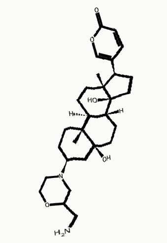 C[C@]12CC[C@H](N3CCOC(CN)C3)C[C@@]1(O)CC[C@@H]1[C@@H]2CC[C@]2(C)[C@@H](c3ccc(=O)oc3)CC[C@]12O